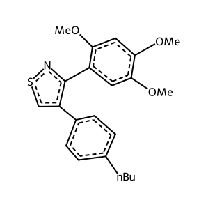 CCCCc1ccc(-c2csnc2-c2cc(OC)c(OC)cc2OC)cc1